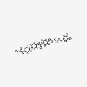 C=CC(=O)Oc1ccc(-c2ccc(OC(=O)c3ccc(OCCCCCC4CC(=C)C(=O)O4)cc3)cc2)cc1